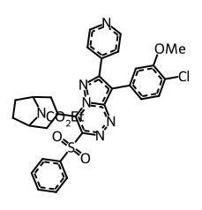 CCOC(=O)N1C2CCC1CC(c1c(S(=O)(=O)c3ccccc3)nnc3c(-c4ccc(Cl)c(OC)c4)c(-c4ccncc4)nn13)C2